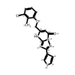 Cc1c(Cl)cccc1OCc1cc(=O)n2nc(-c3ccsc3)nc2[nH]1